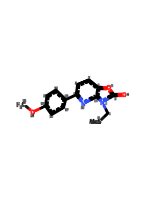 CSCn1c(=O)oc2ccc(-c3ccc(OC(F)(F)F)cc3)nc21